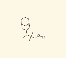 CCOCC(C)(C)C(C)C1C=C2CCCC(C2)C1